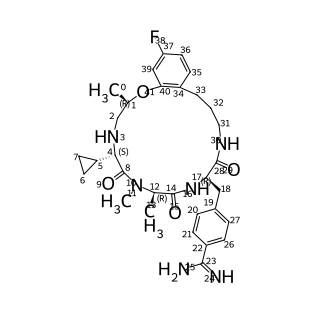 C[C@@H]1CN[C@@H](C2CC2)C(=O)N(C)[C@H](C)C(=O)N[C@H](Cc2ccc(C(=N)N)cc2)C(=O)NCCCc2ccc(F)cc2O1